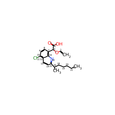 C=COC(C(=O)O)c1ccc(Cl)c2ccc(C(C)CCCCC)nc12